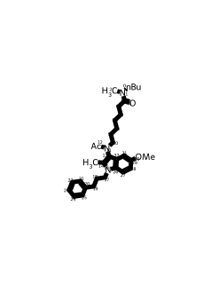 CCCCN(C)C(=O)CCCCCCN(C(C)=O)c1c(C)n(CCCc2ccccc2)c2ccc(OC)cc12